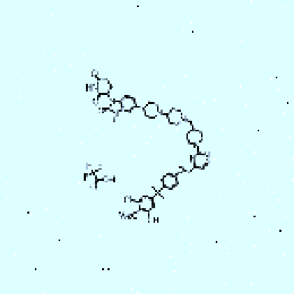 COc1c(Cl)cc(C(C)(C)c2ccc(OCc3ccnc(N4CCC(CN5CCC(N6CCC(c7ccc8c(c7)n(C)c(=O)n8C7CCC(=O)NC7=O)CC6)CC5)CC4)n3)cc2)cc1C#N.O=C(O)C(F)(F)F